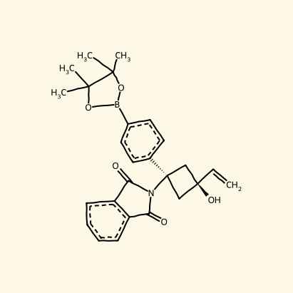 C=C[C@]1(O)C[C@@](c2ccc(B3OC(C)(C)C(C)(C)O3)cc2)(N2C(=O)c3ccccc3C2=O)C1